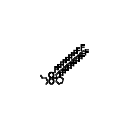 CCCC(C)OC(=O)C1(CC(F)(F)C(F)(F)C(F)(F)C(F)(F)C(F)(F)C(F)(F)C(F)(F)C(F)(F)C(F)(F)C(F)F)CCCCC1